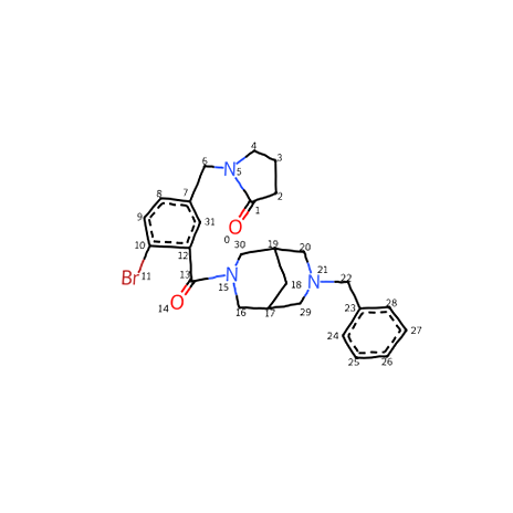 O=C1CCCN1Cc1ccc(Br)c(C(=O)N2CC3CC(CN(Cc4ccccc4)C3)C2)c1